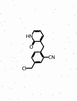 N#Cc1cc(CCl)ccc1Cc1ccc[nH]c1=O